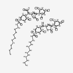 CCCCCCCCCCCCS(=O)(=O)c1ccc(N(C(C)=O)C2=NN(c3c(Cl)cc(Cl)cc3Cl)C(=O)C2)c(Cl)c1.CCCCCCCCCCCCS(=O)(=O)c1ccc(NC2=NN(c3c(Cl)cc(Cl)cc3Cl)C(=O)C2)c(Cl)c1